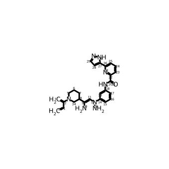 C=CC(=C)N1CCCC(/C(N)=C/N(N)c2cccc(NC(=O)c3cccc(-c4ccn[nH]4)n3)c2)C1